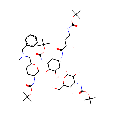 CN(Cc1ccccc1)CC1CCC(NC(=O)OC(C)(C)C)[C@@H](OC2C(O)[C@@H](O[C@H]3OC(CO)[C@@H](O)[C@H](NC(=O)OC(C)(C)C)C3O)[C@H](NC(=O)[C@@H](O)CCNC(=O)OC(C)(C)C)C[C@H]2NC(=O)OC(C)(C)C)O1